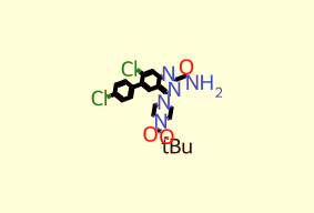 CC(C)(C)OC(=O)N1CCN(c2nc(C(N)=O)nc3cc(Cl)c(-c4ccc(Cl)cc4)cc23)CC1